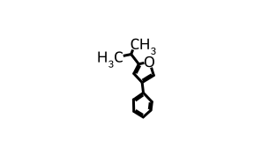 CC(C)c1cc(-c2ccccc2)co1